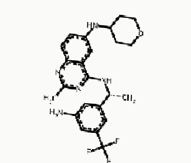 Cc1nc(N[C@H](C)c2cc(N)cc(C(F)(F)F)c2)c2cc(NC3CCOCC3)[c]cc2n1